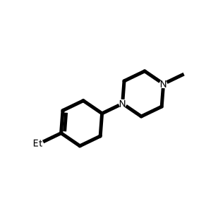 [CH2]CC1=CCC(N2CCN(C)CC2)CC1